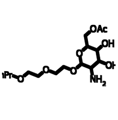 CCCOCCOCCOC1OC(COC(C)=O)C(O)C(O)C1N